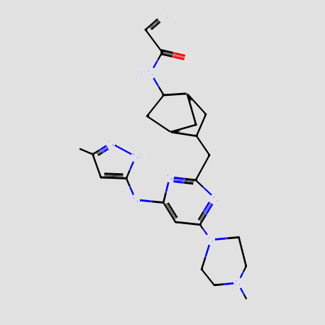 C=CC(=O)NC1CC2CC1CC2Cc1nc(Nc2cc(C)n[nH]2)cc(N2CCN(C)CC2)n1